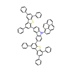 c1ccc(-c2cc(-c3ccccc3)c3sc4c(-c5ccc6c(c5)c5cc(-c7cc(-c8ccccc8)cc8c7sc7c(-c9ccccc9)cc(-c9ccccc9)cc78)ccc5n6-c5ccc6ccc7cccc8ccc5c6c78)cc(-c5ccccc5)cc4c3c2)cc1